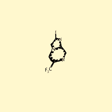 FC(F)(F)c1cn2cc(I)nc2cn1